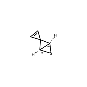 C1=CC12[C@@H]1S[C@@H]12